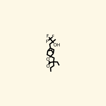 CCCC1(CC)CC2(CC3CC2CC3CC(C)(O)C(F)(F)F)OC1=O